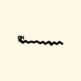 CCCCC=CCCCCCCCC/C=C\O